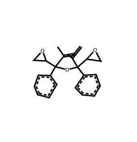 C=C(C)C(OC(C(=C)C)(c1ccccc1)C1CO1)(c1ccccc1)C1CO1